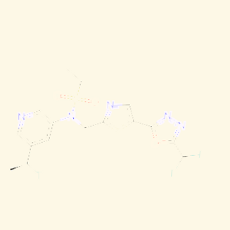 CCS(=O)(=O)N(Cc1ncc(-c2nnc(C(F)F)o2)s1)c1cncc([C@H](C)F)c1